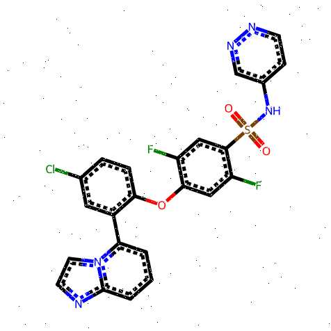 O=S(=O)(Nc1ccnnc1)c1cc(F)c(Oc2ccc(Cl)cc2-c2cccc3nccn23)cc1F